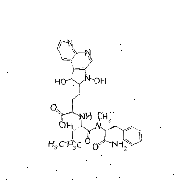 CC(C)C[C@H](N[C@H](CCC1C(O)c2c(cnc3ncccc23)N1O)C(=O)O)C(=O)N(C)[C@@H](Cc1ccccc1)C(N)=O